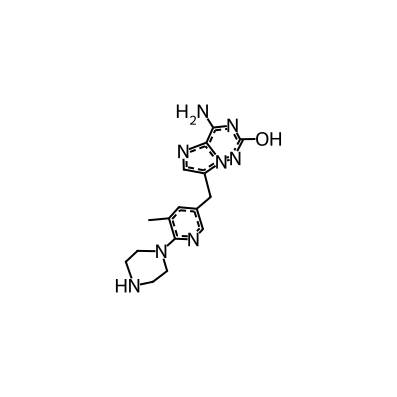 Cc1cc(Cc2cnc3c(N)nc(O)nn23)cnc1N1CCNCC1